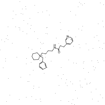 O=C(CCc1cccnc1)NCCCC[N+]1(Cc2ccccc2)CCCCC1